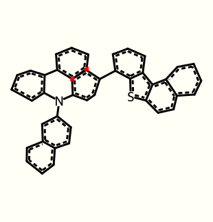 c1ccc(-c2ccccc2N(c2ccc(-c3cccc4c3sc3ccc5ccccc5c34)cc2)c2ccc3ccccc3c2)cc1